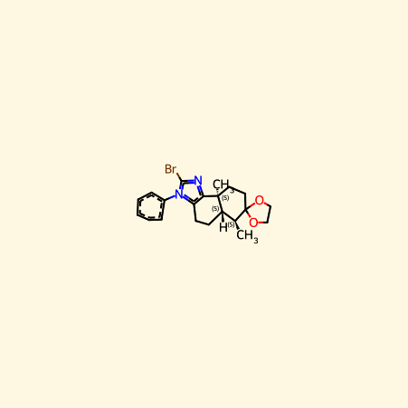 C[C@H]1[C@@H]2CCc3c(nc(Br)n3-c3ccccc3)[C@@]2(C)CCC12OCCO2